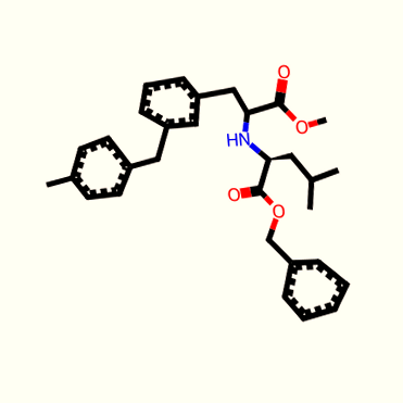 COC(=O)C(Cc1cccc(Cc2ccc(C)cc2)c1)N[C@@H](CC(C)C)C(=O)OCc1ccccc1